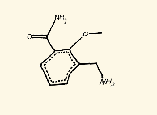 COc1c(CN)cccc1C(N)=O